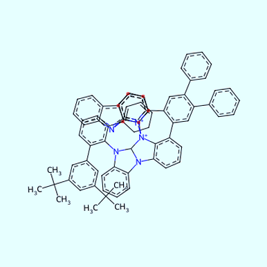 CC(C)(C)c1cc(-c2cccc(C3=CC=CCC3)c2N2c3ccccc3N3c4cccc5c4[N+]4(c6c(ccc7c8ccccc8n(c67)-c6cccc[n+]64)-c4cc(-c6ccccc6)c(-c6ccccc6)cc4-5)C32)cc(C(C)(C)C)c1